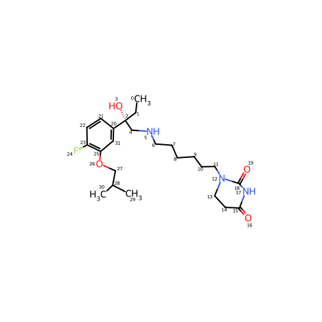 CC[C@@](O)(CNCCCCCCN1CCC(=O)NC1=O)c1ccc(F)c(OCC(C)C)c1